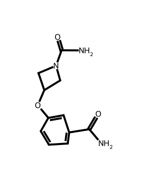 NC(=O)c1cccc(OC2CN(C(N)=O)C2)c1